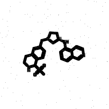 CS(=O)(=O)C1NCCc2cc(CN3CC[C@@H](Nc4cccc5cnccc45)C3)ccc21